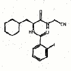 N#CCNC(=O)[C@H](CC1CCCCC1)NC(=O)c1ccccc1I